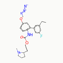 CCc1cc(F)cc(-c2cc(OCN=[N+]=[N-])ccc2NC(=O)OCCC2CCCN2C)c1